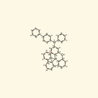 c1ccc(-c2ccc(N(c3ccccc3)c3ccc4c(c3)Oc3cccc5c3C4(c3ccccc3)c3ccccc3-5)cc2)cc1